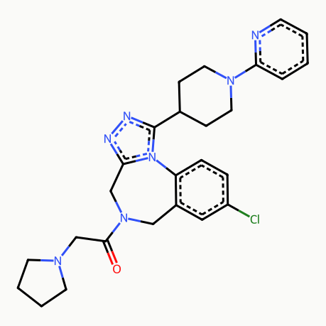 O=C(CN1CCCC1)N1Cc2cc(Cl)ccc2-n2c(nnc2C2CCN(c3ccccn3)CC2)C1